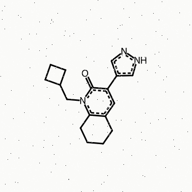 O=c1c(-c2cn[nH]c2)cc2c(n1CC1CCC1)CCCC2